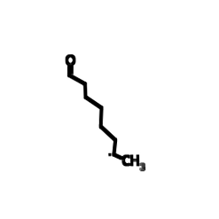 C[CH]CCCCCC=O